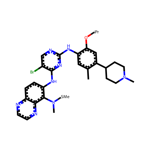 CSN(C)c1c(Nc2nc(Nc3cc(C)c(C4CCN(C)CC4)cc3OC(C)C)ncc2Br)ccc2nccnc12